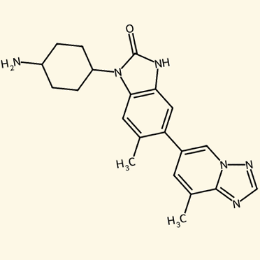 Cc1cc2c(cc1-c1cc(C)c3ncnn3c1)[nH]c(=O)n2C1CCC(N)CC1